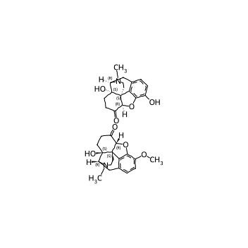 CN1CC[C@]23c4c5ccc(O)c4O[C@H]2C(=O)CC[C@@]3(O)[C@H]1C5.COc1ccc2c3c1O[C@H]1C(=O)CC[C@@]4(O)[C@@H](C2)N(C)CC[C@]314